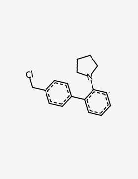 ClCc1ccc(-c2ccc[c]c2N2CCCC2)cc1